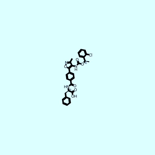 Cc1noc(-c2ccc(C(=O)N[C@H](Cc3ccccc3)C(=O)O)cc2)c1NC(=O)O[C@H](C)c1ccccc1Cl